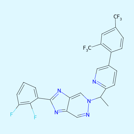 CC(c1ccc(-c2ccc(C(F)(F)F)cc2C(F)(F)F)cn1)n1cc2nc(-c3cccc(F)c3F)nc-2cn1